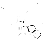 CCN(CC)C(=O)[C@H](N[S@@+]([O-])C(C)(C)C)c1ccc2c(c1)OCCO2